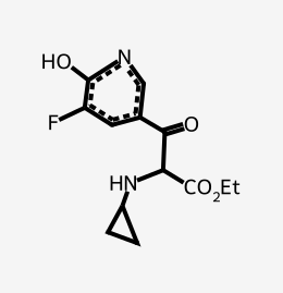 CCOC(=O)C(NC1CC1)C(=O)c1cnc(O)c(F)c1